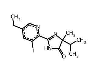 CCc1cnc(C2=NC(C)(C(C)C)C(=O)N2)c(I)c1